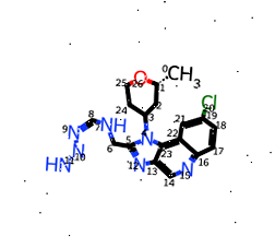 C[C@@H]1CC(n2c(CN/C=N\N=N)nc3cnc4ccc(Cl)cc4c32)CCO1